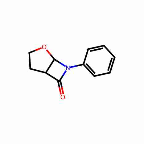 O=C1C2CCOC2N1c1ccccc1